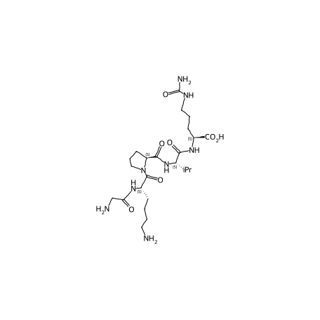 CC(C)[C@H](NC(=O)[C@@H]1CCCN1C(=O)[C@H](CCCCN)NC(=O)CN)C(=O)N[C@@H](CCCNC(N)=O)C(=O)O